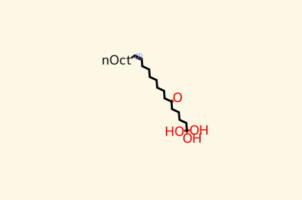 CCCCCCCC/C=C\CCCCCCCC(=O)CCCCC(O)(O)O